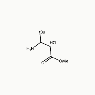 COC(=O)CC(N)C(C)(C)C.Cl